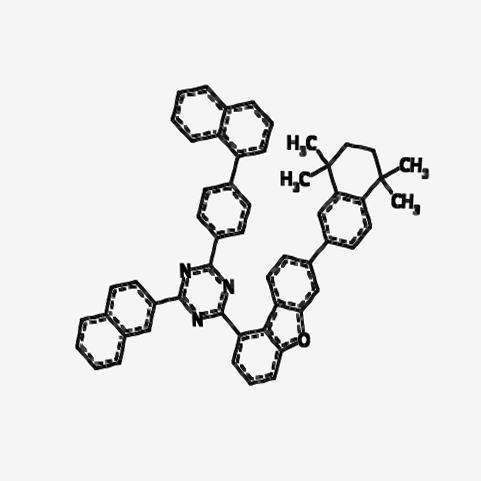 CC1(C)CCC(C)(C)c2cc(-c3ccc4c(c3)oc3cccc(-c5nc(-c6ccc(-c7cccc8ccccc78)cc6)nc(-c6ccc7ccccc7c6)n5)c34)ccc21